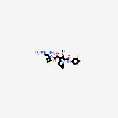 Cc1c(C(=O)C(=O)NC2(/C(N)=C/NN)CC(F)(F)C2)c2n(c1C(=O)Nc1ccc(F)c(F)c1)C1CC1C2